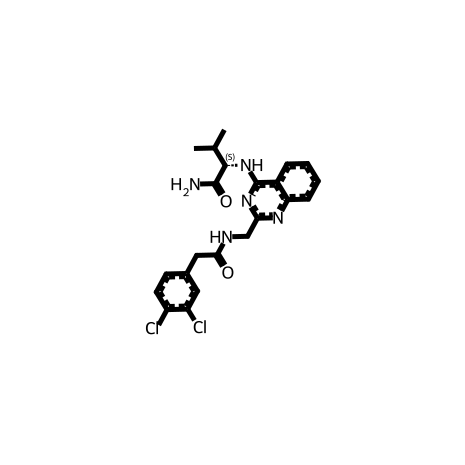 CC(C)[C@H](Nc1nc(CNC(=O)Cc2ccc(Cl)c(Cl)c2)nc2ccccc12)C(N)=O